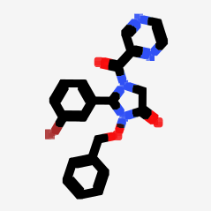 O=C(c1cnccn1)N1CC(=O)N(OCc2ccccc2)C1c1cccc(Br)c1